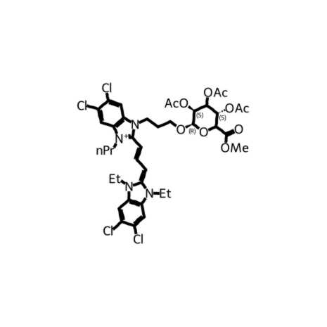 CCC[n+]1c(C=CC=C2N(CC)c3cc(Cl)c(Cl)cc3N2CC)n(CCCO[C@@H]2OC(C(=O)OC)[C@@H](OC(C)=O)C(OC(C)=O)[C@@H]2OC(C)=O)c2cc(Cl)c(Cl)cc21